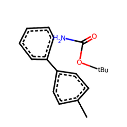 CC(C)(C)OC(N)=O.Cc1ccc(-c2ccccc2)cc1